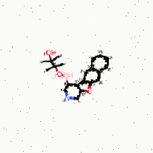 CC(C)(O)C(C)(C)OBc1cncc2oc3cc4ccccc4cc3c12